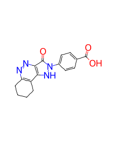 O=C(O)c1ccc(-n2[nH]c3c4c(nnc3c2=O)CCCC4)cc1